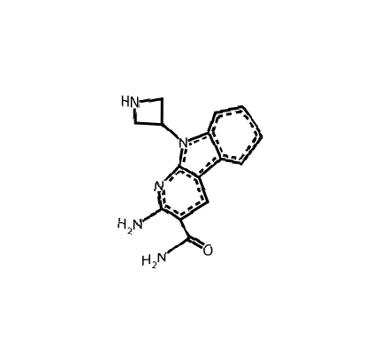 NC(=O)c1cc2c3ccccc3n(C3CNC3)c2nc1N